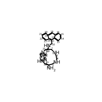 NC12CNCCNCC(NCc3c4ccccc4cc4ccccc34)(CNCCNC1)CNCCNC2